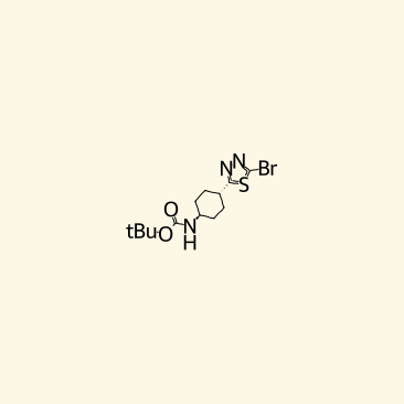 CC(C)(C)OC(=O)N[C@H]1CC[C@H](c2nnc(Br)s2)CC1